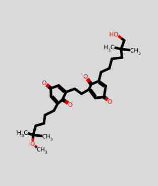 COC(C)(C)CCCCC1=CC(=O)C=C(CCC2=CC(=O)C=C(CCCCC(C)(C)CO)C2=O)C1=O